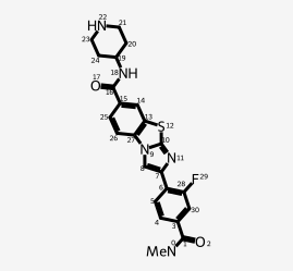 CNC(=O)c1ccc(-c2cn3c(n2)sc2cc(C(=O)NC4CCNCC4)ccc23)c(F)c1